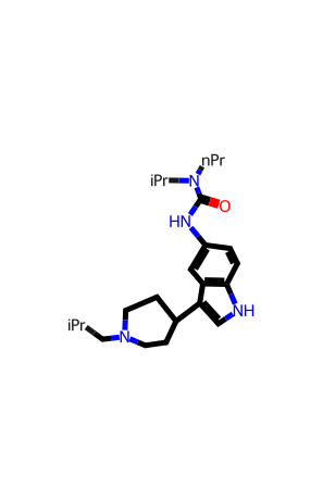 CCCN(C(=O)Nc1ccc2[nH]cc(C3CCN(CC(C)C)CC3)c2c1)C(C)C